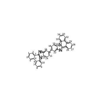 c1ccc2c(c1)c1ccccc1n1c3ccc(-c4ccc5c(c4)nc4c6ccccc6c6ccccc6n54)cc3nc21